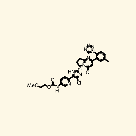 COCCOC(=O)Nc1ccc(-c2[nH]c([C@@H]3CCc4nc(-c5cc(C)ccc5-n5cnnn5)cc(=O)n43)nc2Cl)nc1